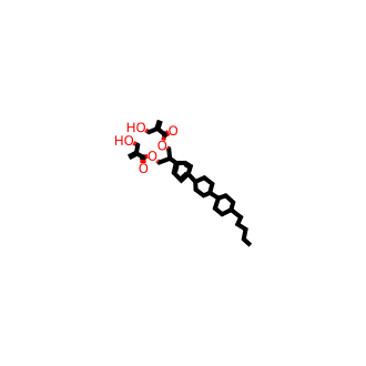 C=C(CO)C(=O)OCC(COC(=O)C(=C)CO)c1ccc(C2CCC(C3CCC(CCCCC)CC3)CC2)cc1